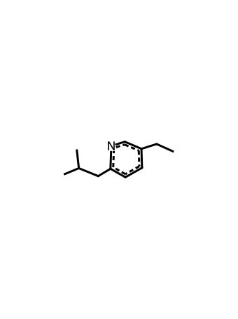 CCc1ccc(CC(C)C)nc1